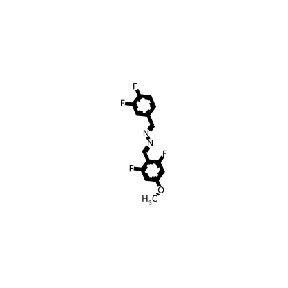 COc1cc(F)c(/C=N/N=C/c2ccc(F)c(F)c2)c(F)c1